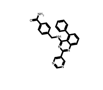 NC(=O)c1ccc(CNc2nc(-c3cncnc3)nc3cccc(-c4ccccc4)c23)cc1